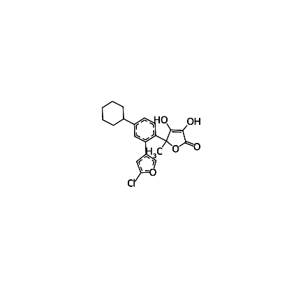 CC1(c2ccc(C3CCCCC3)cc2-c2coc(Cl)c2)OC(=O)C(O)=C1O